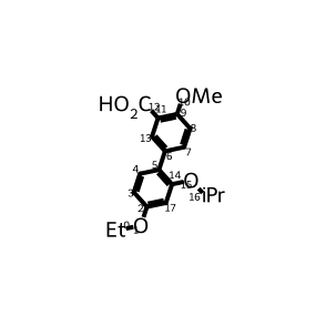 CCOc1ccc(-c2ccc(OC)c(C(=O)O)c2)c(OC(C)C)c1